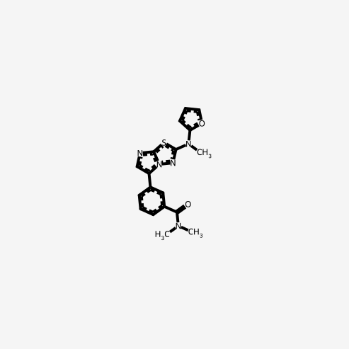 CN(C)C(=O)c1cccc(-c2cnc3sc(N(C)c4ccco4)nn23)c1